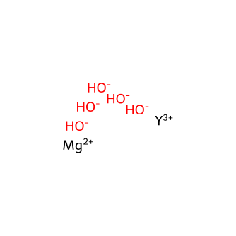 [Mg+2].[OH-].[OH-].[OH-].[OH-].[OH-].[Y+3]